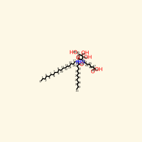 CCCCCCCCCCCCCCCCCCN(C(=O)CCCCCCCCCCC)[C@@H]1O[C@H](CO)[C@@H](O)[C@H](O)[C@@H]1NCCCCCC(=O)O